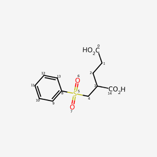 O=C(O)CCC(CS(=O)(=O)c1ccccc1)C(=O)O